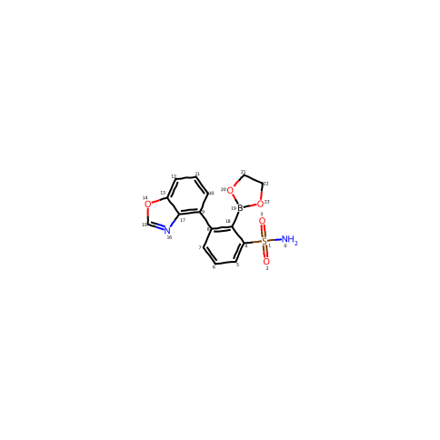 NS(=O)(=O)c1cccc(-c2cccc3ocnc23)c1B1OCCO1